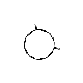 O=C1C=CC=CC=CC=CC=CC=CC(=O)COOC=C1